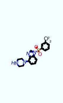 O=S(=O)(c1cccc(C(F)(F)F)c1)n1cnc2c(N3CCNCC3)cccc21